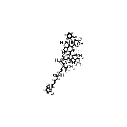 CC[C@H](C)[C@@H]([C@@H](CC(=O)N1CCC[C@H]1[C@H](OC)[C@@H](C)C(=O)N[C@@H](Cc1ccccc1)C(=O)O)OC)N(C)C(=O)[C@@H](NC(=O)N(CCCNC(=O)CCCCCN1C(=O)C=CC1O)C(C)C)C(C)C